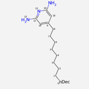 CCCCCCCCCCCCCCCCCCc1cc(N)nc(N)c1